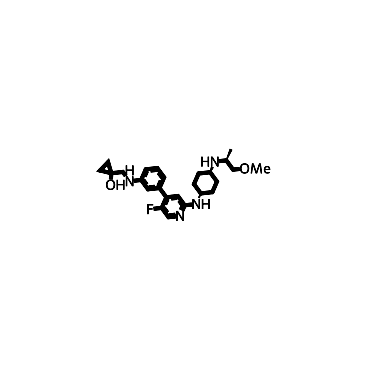 COC[C@H](C)N[C@H]1CC[C@H](Nc2cc(-c3cccc(NCC4(O)CC4)c3)c(F)cn2)CC1